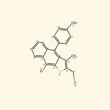 CC(=O)Oc1ccc(-c2c3ccccc3c(Br)c3sc(CCl)c(C)c23)cc1